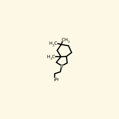 CC(C)CCB1CC2CCC(C)(C)CC2(C)C1